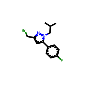 CC(C)Cn1nc(CBr)cc1-c1ccc(F)cc1